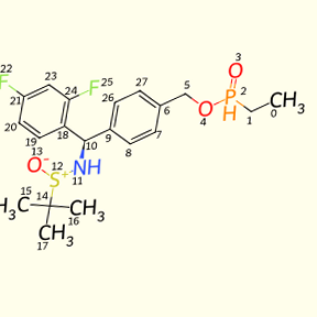 CC[PH](=O)OCc1ccc([C@@H](N[S+]([O-])C(C)(C)C)c2ccc(F)cc2F)cc1